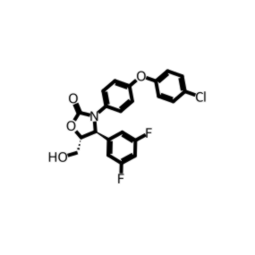 O=C1O[C@@H](CO)[C@H](c2cc(F)cc(F)c2)N1c1ccc(Oc2ccc(Cl)cc2)cc1